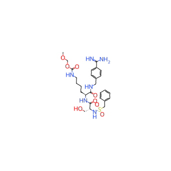 COCOC(=O)NCCCC[C@H](NC(=O)[C@@H](CO)NS(=O)(=O)Cc1ccccc1)C(=O)NCc1ccc(C(=N)N)cc1